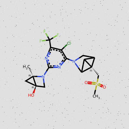 C[C@@]12C[C@@]1(O)CN2c1nc(N2CC3C4C2[C@]34CS(C)(=O)=O)c(Cl)c(C(F)(F)F)n1